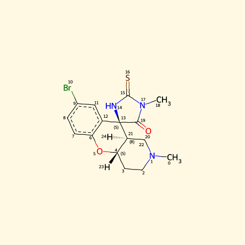 CN1CC[C@@H]2Oc3ccc(Br)cc3[C@@]3(NC(=S)N(C)C3=O)[C@H]2C1